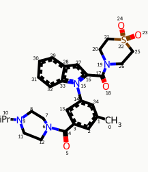 Cc1cc(C(=O)N2CCN(C(C)C)CC2)cc(-n2c(C(=O)N3CCS(=O)(=O)CC3)cc3ccccc32)c1